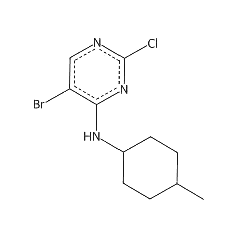 CC1CCC(Nc2nc(Cl)ncc2Br)CC1